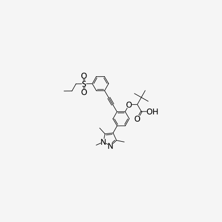 CCCS(=O)(=O)c1cccc(C#Cc2cc(-c3c(C)nn(C)c3C)ccc2OC(C(=O)O)C(C)(C)C)c1